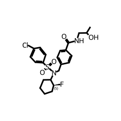 CC(O)CNC(=O)c1ccc(CN(C2CCCC[C@@H]2F)S(=O)(=O)c2ccc(Cl)cc2)cc1